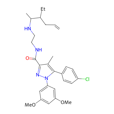 C=CCC(CC)C(C)NCCNC(=O)c1nn(-c2cc(OC)cc(OC)c2)c(-c2ccc(Cl)cc2)c1C